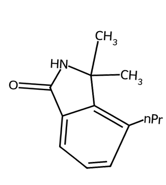 CCCc1cccc2c1C(C)(C)NC2=O